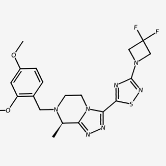 COc1ccc(CN2CCn3c(-c4nc(N5CC(F)(F)C5)ns4)nnc3[C@H]2C)c(OC)c1